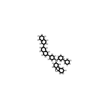 c1ccc(-c2cccc(N(c3ccc(-c4ccc5ccc(-c6ccc7ccccc7c6)cc5c4)cc3)c3ccc4oc5ccccc5c4c3)c2)cc1